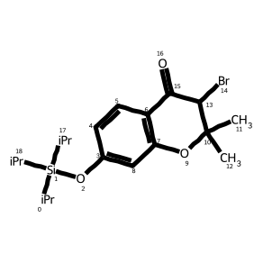 CC(C)[Si](Oc1ccc2c(c1)OC(C)(C)C(Br)C2=O)(C(C)C)C(C)C